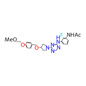 COCCOc1ccc(COC2CCN(c3ncnc(Nc4cccc(NC(C)=O)c4F)n3)CC2)cc1